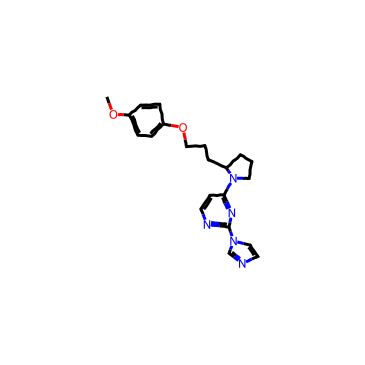 COc1ccc(OCCCC2CCCN2c2ccnc(-n3ccnc3)n2)cc1